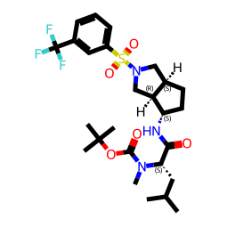 CC(C)C[C@@H](C(=O)N[C@H]1CC[C@@H]2CN(S(=O)(=O)c3cccc(C(F)(F)F)c3)C[C@@H]21)N(C)C(=O)OC(C)(C)C